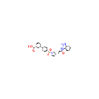 Nc1ccccc1NC(=O)/C=C/c1ccn(S(=O)(=O)c2ccc(-c3cccc(C(=O)O)c3)cc2)c1